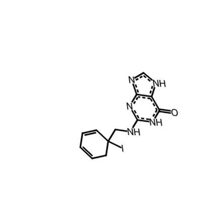 O=c1[nH]c(NCC2(I)C=CC=CC2)nc2nc[nH]c12